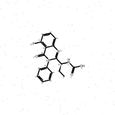 CC[C@H](NC(=O)O)c1nc2cccc(F)c2c(=O)n1-c1ccccc1